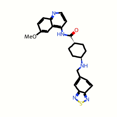 COc1ccc2nccc(NC(=O)[C@H]3CC[C@H](NCc4ccc5nsnc5c4)CC3)c2c1